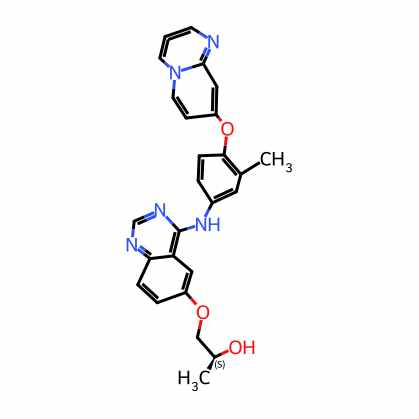 Cc1cc(Nc2ncnc3ccc(OC[C@H](C)O)cc23)ccc1OC1=CC2=NC=C=CN2C=C1